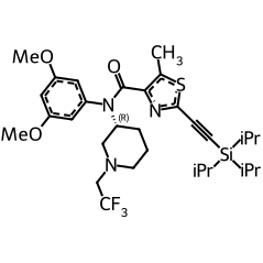 COc1cc(OC)cc(N(C(=O)c2nc(C#C[Si](C(C)C)(C(C)C)C(C)C)sc2C)[C@@H]2CCCN(CC(F)(F)F)C2)c1